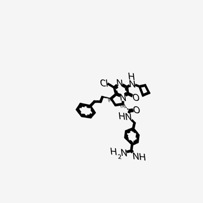 N=C(N)c1ccc(CNC(=O)[C@@H]2C[C@@H](CCCc3ccccc3)c3c(Cl)nc(NC4CCC4)c(=O)n32)cc1